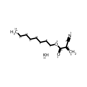 C=C(C#N)C(=O)OCCCCCCCC.[KH]